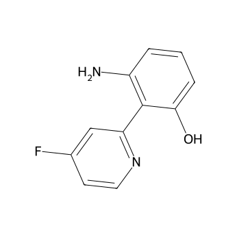 Nc1cccc(O)c1-c1cc(F)ccn1